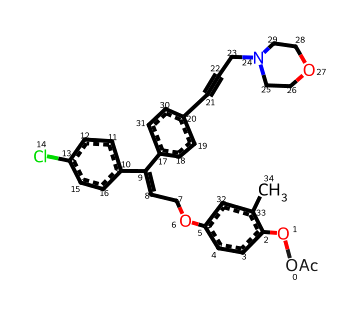 CC(=O)OOc1ccc(OCC=C(c2ccc(Cl)cc2)c2ccc(C#CCN3CCOCC3)cc2)cc1C